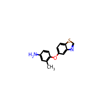 Cc1cc(N)ccc1Oc1ccc2scnc2c1